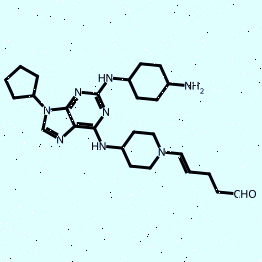 NC1CCC(Nc2nc(NC3CCN(C=CCCC=O)CC3)c3ncn(C4CCCC4)c3n2)CC1